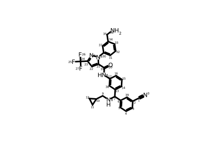 N#Cc1cccc(C(NCC2CC2)c2cccc(NC(=O)c3cc(C(F)(F)F)nn3-c3cccc(CN)c3)c2)c1